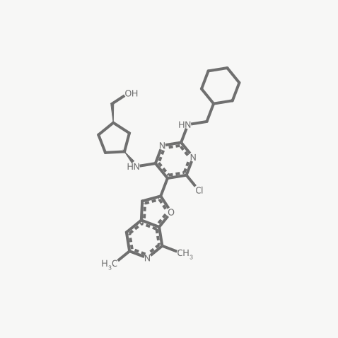 Cc1cc2cc(-c3c(Cl)nc(NCC4CCCCC4)nc3N[C@H]3CC[C@@H](CO)C3)oc2c(C)n1